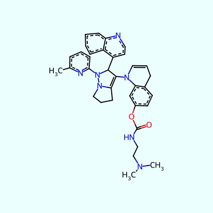 Cc1cccc(N2C(c3ccnc4ccccc34)C(N3C=CCc4ccc(OC(=O)NCCN(C)C)cc43)=C3CCCN32)n1